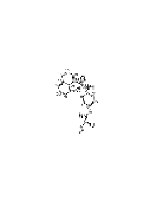 C=CC(=O)NCc1ccc(NS(=O)(=O)c2cccc3ccccc23)cc1